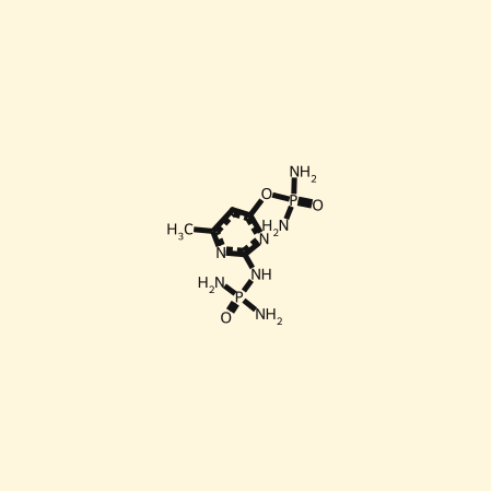 Cc1cc(OP(N)(N)=O)nc(NP(N)(N)=O)n1